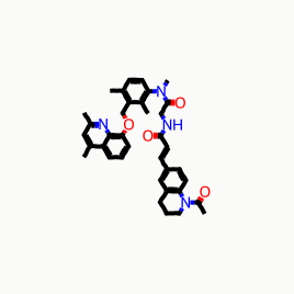 CC(=O)N1CCCc2cc(C=CC(=O)NCC(=O)N(C)c3ccc(C)c(COc4cccc5c(C)cc(C)nc45)c3C)ccc21